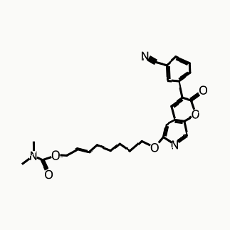 CN(C)C(=O)OCCCCCCCCOc1cc2cc(-c3cccc(C#N)c3)c(=O)oc2cn1